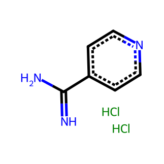 Cl.Cl.N=C(N)c1ccncc1